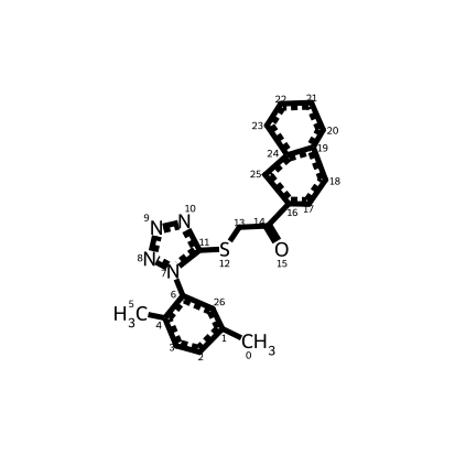 Cc1ccc(C)c(-n2nnnc2SCC(=O)c2ccc3ccccc3c2)c1